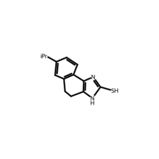 CC(C)c1ccc2c(c1)CCc1[nH]c(S)nc1-2